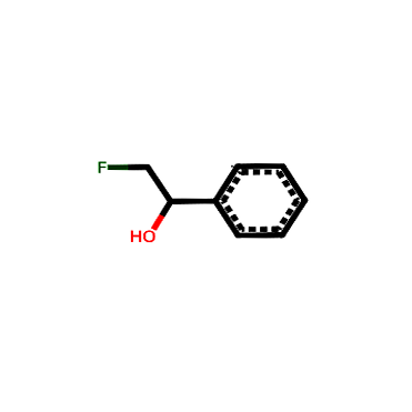 OC(CF)c1[c]cccc1